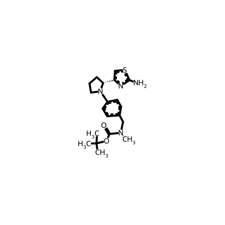 CN(Cc1ccc(N2CCC[C@@H]2c2csc(N)n2)cc1)C(=O)OC(C)(C)C